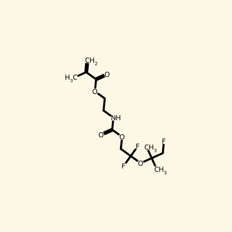 C=C(C)C(=O)OCCNC(=O)OCC(F)(F)OC(C)(C)CF